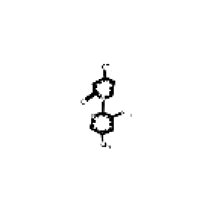 Nc1cc(C(F)(F)F)cnc1-n1ccc(C(F)(F)F)cc1=O